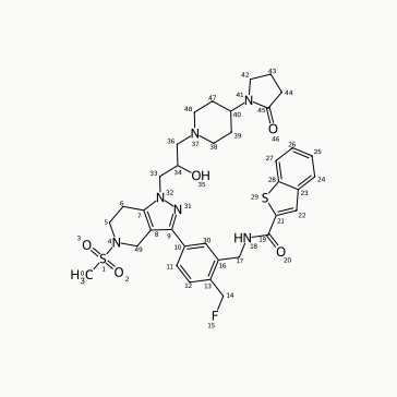 CS(=O)(=O)N1CCc2c(c(-c3ccc(CF)c(CNC(=O)c4cc5ccccc5s4)c3)nn2CC(O)CN2CCC(N3CCCC3=O)CC2)C1